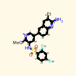 CCc1cc2cc(-c3cnc(OC)c(NS(=O)(=O)c4ccc(F)cc4F)c3)ccc2nc1N